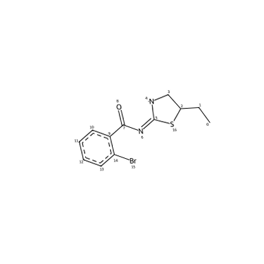 CCC1C[N]C(=NC(=O)c2ccccc2Br)S1